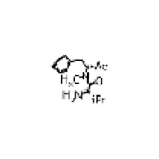 CC(=O)[C@H](Cc1ccccc1)N(C)C(=O)[C@@H](N)C(C)C